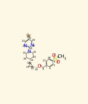 CS(=O)(=O)c1ccc(COC[C@@H]2C[C@@H]2C2CCN(c3ncc(Br)cn3)CC2)cc1